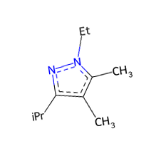 CCn1nc(C(C)C)c(C)c1C